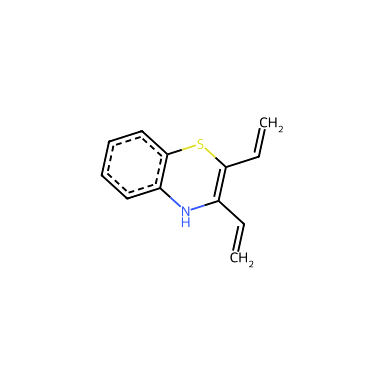 C=CC1=C(C=C)Sc2ccccc2N1